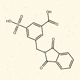 O=C(O)c1cc(CN2C(=O)c3ccccc3C2=O)cc(S(=O)(=O)O)c1